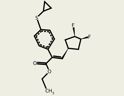 CCOC(=O)/C(=C/[C@H]1C[C@@H](F)[C@@H](F)C1)c1ccc(SC2CC2)cc1